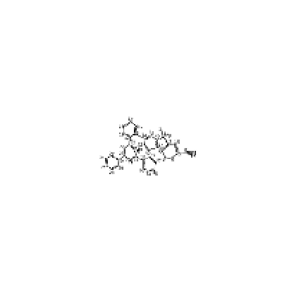 CC1(C)C2=C(CCC(C#N)=C2)c2ccc(-c3ccccc3-c3cc(-c4ccccc4)nc(-c4ccccc4)n3)cc21